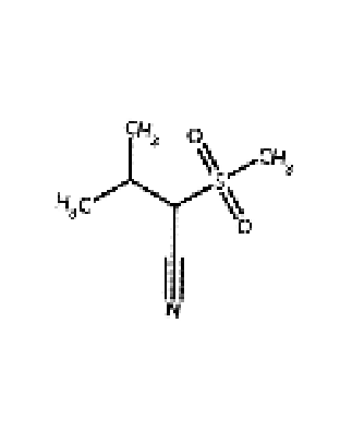 CC(C)C(C#N)S(C)(=O)=O